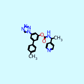 Cc1ccc(-c2cc(OC(=O)NC(C)c3ccncc3)cc(-n3cnnn3)c2)cc1